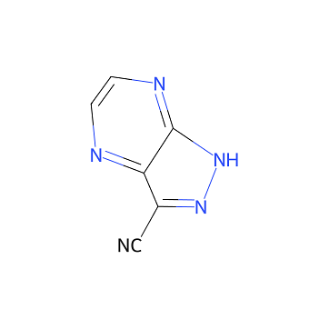 N#Cc1n[nH]c2nccnc12